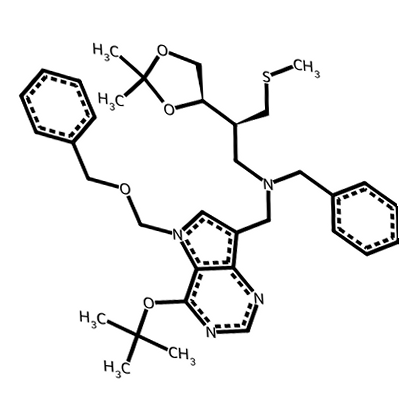 CSC[C@@H](CN(Cc1ccccc1)Cc1cn(COCc2ccccc2)c2c(OC(C)(C)C)ncnc12)[C@@H]1COC(C)(C)O1